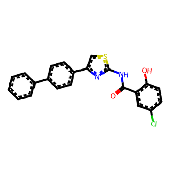 O=C(Nc1nc(-c2ccc(-c3ccccc3)cc2)cs1)c1cc(Cl)ccc1O